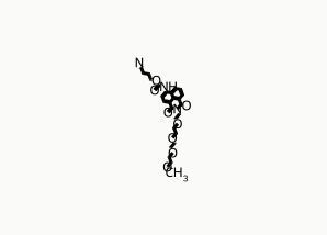 COCCOCCOCCOCCN1C(=O)c2cccc3c(NC(=O)OCCCC#N)ccc(c23)C1=O